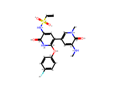 C=CS(=O)(=O)Nc1cc(-c2cc(NC)c(=O)n(C)c2)c(Oc2ccc(F)cc2)[nH]c1=O